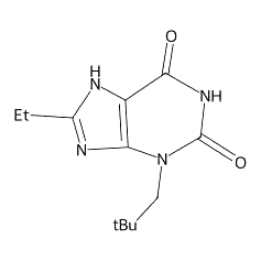 CCc1nc2c([nH]1)c(=O)[nH]c(=O)n2CC(C)(C)C